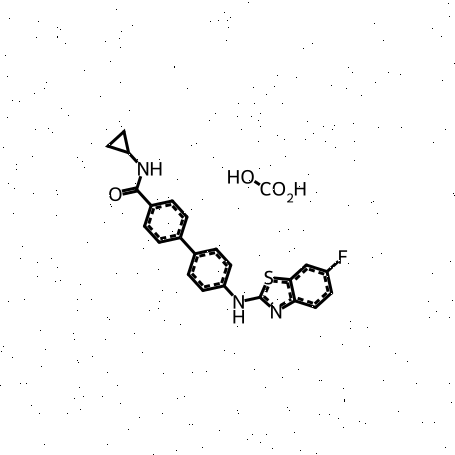 O=C(NC1CC1)c1ccc(-c2ccc(Nc3nc4ccc(F)cc4s3)cc2)cc1.O=C(O)O